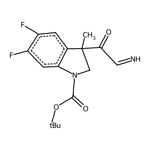 CC(C)(C)OC(=O)N1CC(C)(C(=O)C=N)c2cc(F)c(F)cc21